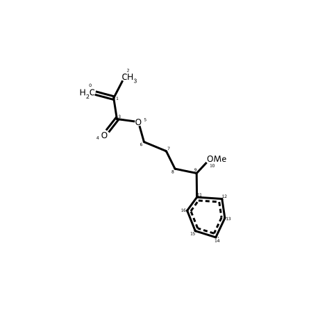 C=C(C)C(=O)OCCCC(OC)c1cc[c]cc1